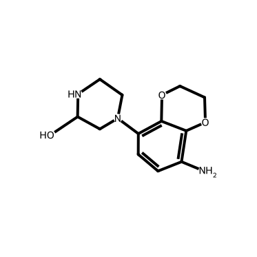 Nc1ccc(N2CCNC(O)C2)c2c1OCCO2